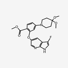 COC(=O)c1ccc(N2CCC(OC)(OC)CC2)cc1Oc1cnc2[nH]cc(F)c2c1